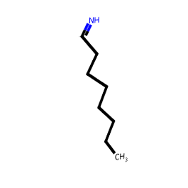 CCCCCCC[C]=N